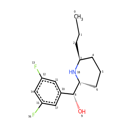 CCC[C@H]1CCC[C@H]([C@H](O)c2cc(F)cc(F)c2)N1